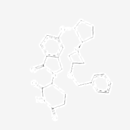 O=C1CCC(N2Cc3cc(O[C@@H]4CCC[C@H]4N4CC(OCc5ccccc5)C4)ccc3C2=O)C(=O)N1